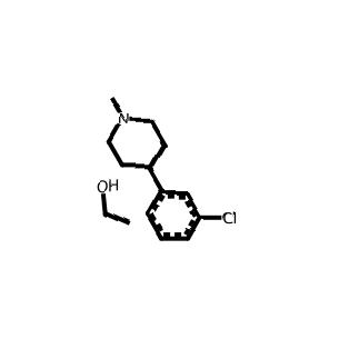 CCO.CN1CCC(c2cccc(Cl)c2)CC1